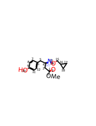 COC(=O)C/C(Cc1ccc(O)cc1)=N\OCC1CC1